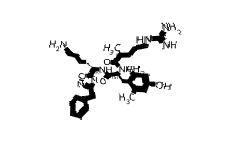 Cc1cc(O)cc(C)c1C[C@H](NC(=O)[C@H](C)CCCNC(=N)N)C(=O)N[C@@H](CCCCN)c1nc(Cc2ccccc2)no1